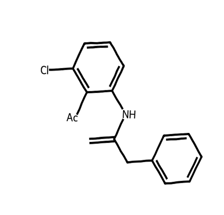 C=C(Cc1ccccc1)Nc1cccc(Cl)c1C(C)=O